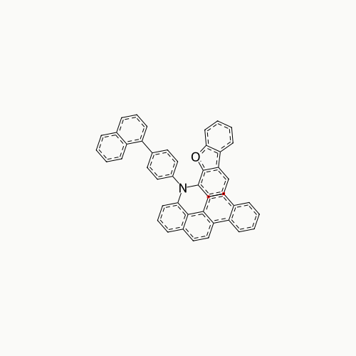 c1ccc2c(-c3ccc(N(c4cccc5c4oc4ccccc45)c4cccc5ccc6c7ccccc7ccc6c45)cc3)cccc2c1